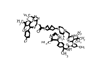 Cc1ncsc1-c1ccc(C(C)NC(=O)[C@@H]2C[C@@H](O)CN2C(=O)[C@@H](NC(=O)CN2CCN(C3CC4(C3)CN(C(=O)C[C@@H]3N=C(c5ccc(Cl)cc5)c5c(sc(C)c5C)-n5c(C)nnc53)C4)C[C@H]2C)C(C)(C)C)cc1